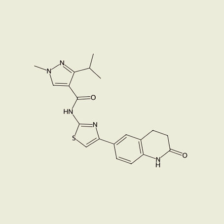 CC(C)c1nn(C)cc1C(=O)Nc1nc(-c2ccc3c(c2)CCC(=O)N3)cs1